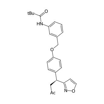 CC(=O)C[C@@H](c1ccc(OCc2cccc(NC(=O)C(C)(C)C)c2)cc1)c1ccon1